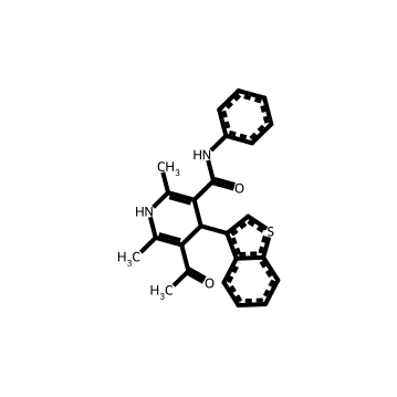 CC(=O)C1=C(C)NC(C)=C(C(=O)Nc2ccccc2)C1c1csc2ccccc12